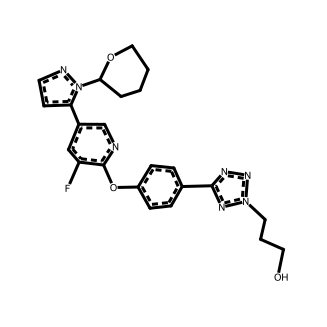 OCCCn1nnc(-c2ccc(Oc3ncc(-c4ccnn4C4CCCCO4)cc3F)cc2)n1